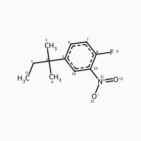 CCC(C)(C)c1ccc(F)c([N+](=O)[O-])c1